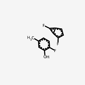 Cc1ccc(F)c(O)c1.Fc1ccc2c(F)c1-2